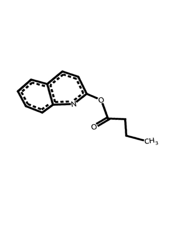 CCCC(=O)Oc1ccc2ccccc2n1